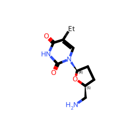 CCc1cn([C@H]2CC[C@@H](CN)O2)c(=O)[nH]c1=O